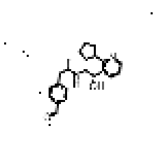 C[C@H](Cc1ccc(C=O)cc1)NC[C@H](O)c1cccnc1C1CCCC1